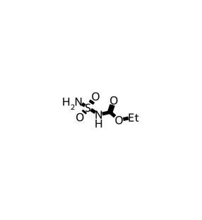 CCOC(=O)NS(N)(=O)=O